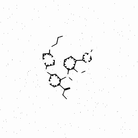 CCC(=O)c1cnc(Nc2cnc(OCCO)cn2)cc1N(C)c1cccc(-c2ncn(C)n2)c1OC